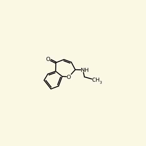 CCNC1C=CC(=O)c2ccccc2O1